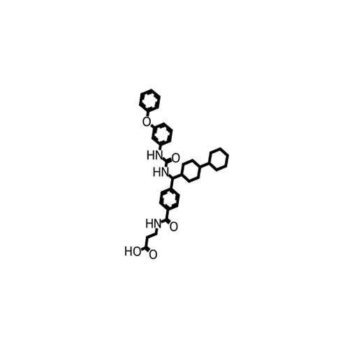 O=C(O)CCNC(=O)c1ccc(C(NC(=O)Nc2cccc(Oc3ccccc3)c2)C2CCC(C3CCCCC3)CC2)cc1